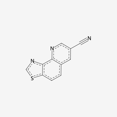 N#Cc1cnc2c(ccc3scnc32)c1